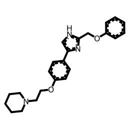 c1ccc(OCc2nc(-c3ccc(OCCN4CCCCC4)cc3)c[nH]2)cc1